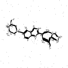 C[C@H]1CN(c2ccc3nc(-c4cc(F)c5nncn5c4)ncc3c2)C[C@H](C)N1